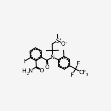 Cc1cc(C(F)(F)C(F)(F)F)ccc1N(C(=O)c1cccc(I)c1C(N)=O)C(C)(C)C[S+](C)[O-]